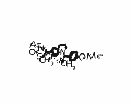 CN=C(c1ccc(OC)cc1)N1CCCc2cc(C3=NN(C(C)=O)C(=O)SC3(C)C)ccc21